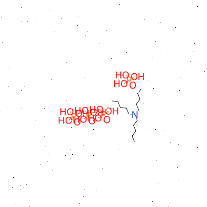 CCCCCN(CCCCC)CCCCC.O=P(O)(O)O.O=P(O)(O)O.O=P(O)(O)O.O=P(O)(O)O